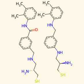 Cc1cccc(NC(=O)c2cccc(CNC[C@@H](N)CS)c2)c1C.Cc1cccc(NCc2cccc(NC[C@@H](N)CS)c2)c1C